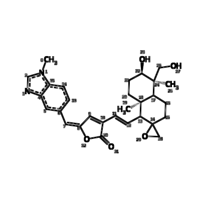 Cn1cnc2cc(/C=C3C=C(/C=C/C4C5(CCC6[C@]4(C)CC[C@@H](O)[C@@]6(C)CO)CO5)C(=O)O\3)ccc21